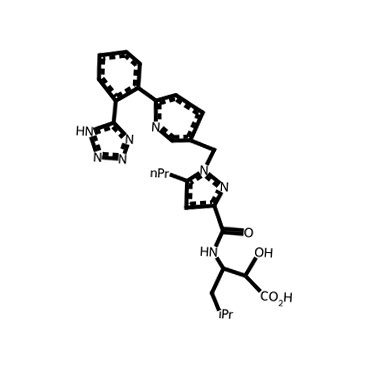 CCCc1cc(C(=O)NC(CC(C)C)C(O)C(=O)O)nn1Cc1ccc(-c2ccccc2-c2nnn[nH]2)nc1